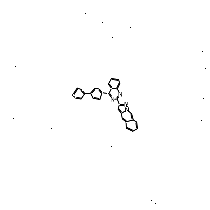 c1ccc(-c2ccc(-c3nc(-c4cc5cc6ccccc6cn5n4)nc4ccccc34)cc2)cc1